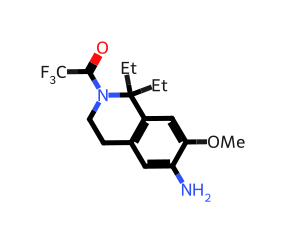 CCC1(CC)c2cc(OC)c(N)cc2CCN1C(=O)C(F)(F)F